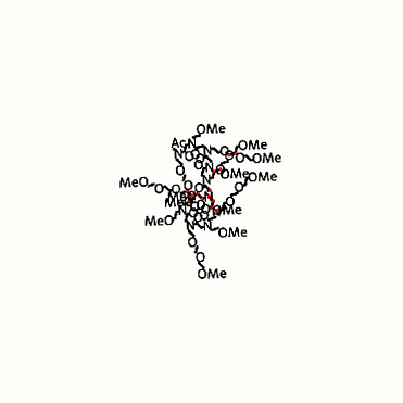 COCCOCCOCCN(CC(C)=O)C(=O)CN(CCOC)C(=O)CN(CCOCCOCCOC)C(=O)CN(CCOC)C(=O)CN(CCOCCOCCOC)C(=O)CN(CCOC)C(=O)CN(CCOCCOCCOC)C(=O)CN(CCOC)C(=O)CN(CCOCCOCCOC)C(=O)CN(CCOC)C(=O)CN(CCOCCOCCOC)C(=O)CN(C)CCOC